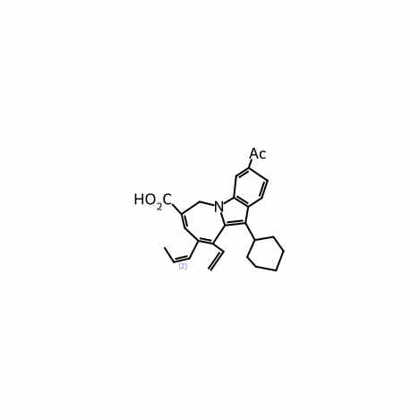 C=CC1=C(/C=C\C)C=C(C(=O)O)Cn2c1c(C1CCCCC1)c1ccc(C(C)=O)cc12